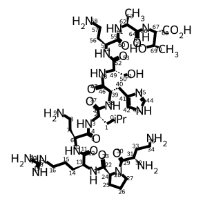 CC(C)C[C@H](NC(=O)[C@H](CCN)NC(=O)[C@H](CCCNC(=N)N)NC(=O)[C@@H]1CCCN1C(=O)[C@@H](N)CCN)C(=O)N[C@@H](Cc1c[nH]cn1)C(=O)N[C@@H](CO)C(=O)N[C@@H](CCN)C(=O)N[C@@H](C)C(=O)N[C@H](C(=O)O)[C@@H](C)O